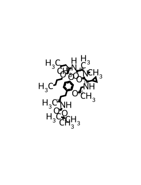 CCCCOC(=O)[C@@H](CC(C)C)NC(=O)[C@@H](C)N(C)C(=O)[C@@H](NC[C@@H](C)Oc1ccccc1CC[C@H](C)NC(=O)OC(C)(C)C)C1CC1